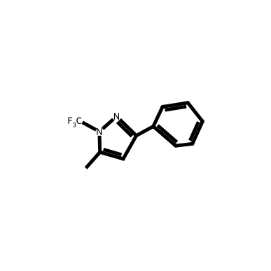 Cc1cc(-c2ccccc2)nn1C(F)(F)F